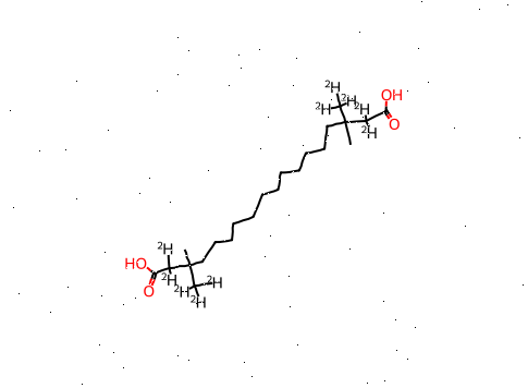 [2H]C([2H])([2H])C(C)(CCCCCCCCCCCCC(C)(C([2H])([2H])[2H])C([2H])([2H])C(=O)O)C([2H])([2H])C(=O)O